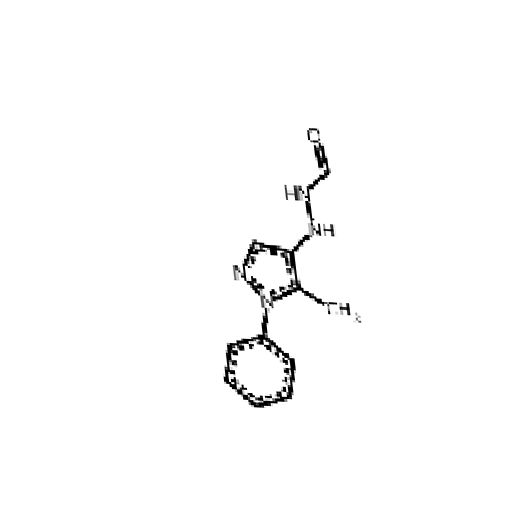 Cc1c(NNC=O)cnn1-c1ccccc1